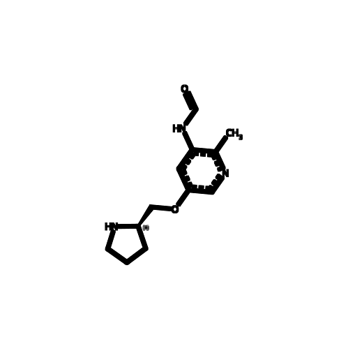 Cc1ncc(OC[C@H]2CCCN2)cc1NC=O